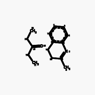 CC1=Nc2ccccc2CC1.CCC(=O)CC